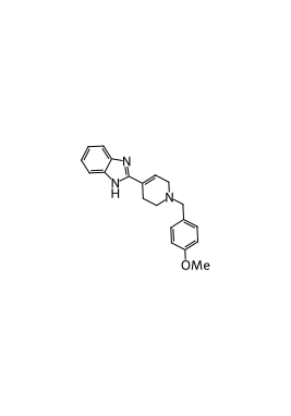 COc1ccc(CN2CC=C(c3nc4ccccc4[nH]3)CC2)cc1